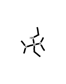 CCN[Si](CC)(N(C)C)N(C)C